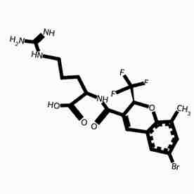 Cc1cc(Br)cc2c1O[C@H](C(F)(F)F)C(C(=O)NC(CCCNC(=N)N)C(=O)O)=C2